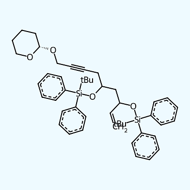 C=CC(CC(CC#CCO[C@H]1CCCCO1)O[Si](c1ccccc1)(c1ccccc1)C(C)(C)C)O[Si](c1ccccc1)(c1ccccc1)C(C)(C)C